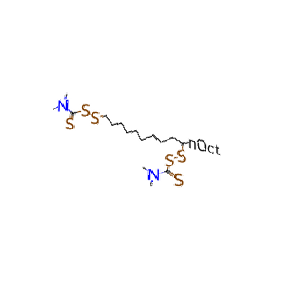 CCCCCCCCC(CCCCCCCCCSSC(=S)N(C)C)SSC(=S)N(C)C